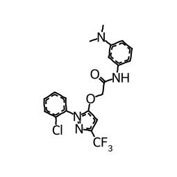 CN(C)c1cccc(NC(=O)COc2cc(C(F)(F)F)nn2-c2ccccc2Cl)c1